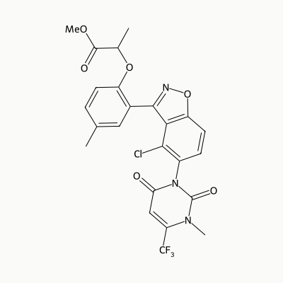 COC(=O)C(C)Oc1ccc(C)cc1-c1noc2ccc(-n3c(=O)cc(C(F)(F)F)n(C)c3=O)c(Cl)c12